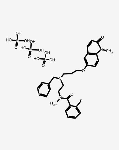 CN(CCN(CCCOc1ccc2c(ccc(=O)n2C)c1)Cc1ccncc1)C(=O)c1ccccc1F.O=P(O)(O)O.O=P(O)(O)O.O=P(O)(O)O